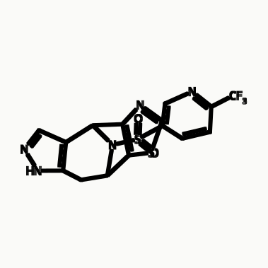 O=S(=O)(c1ccc(C(F)(F)F)nc1)N1C2Cc3[nH]ncc3C1c1ncsc12